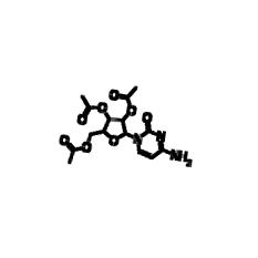 CC(=O)OCC1OC(n2ccc(N)nc2=O)C(OC(C)=O)C1OC(C)=O